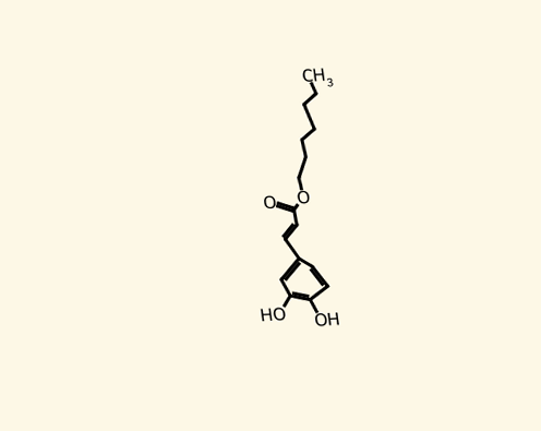 CCCCCCCOC(=O)/C=C/c1ccc(O)c(O)c1